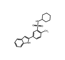 Cc1ccc(-c2cc3ccccc3[nH]2)cc1S(=O)(=O)NC1CCCCC1